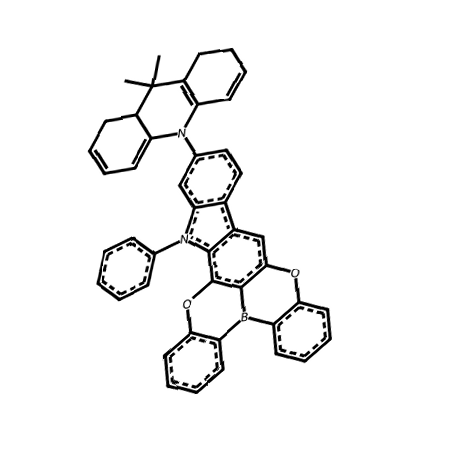 CC1(C)C2=C(C=CCC2)N(c2ccc3c4cc5c6c(c4n(-c4ccccc4)c3c2)Oc2ccccc2B6c2ccccc2O5)C2=CC=CCC21